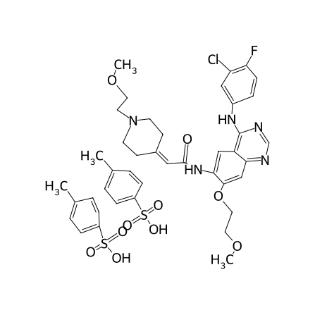 COCCOc1cc2ncnc(Nc3ccc(F)c(Cl)c3)c2cc1NC(=O)C=C1CCN(CCOC)CC1.Cc1ccc(S(=O)(=O)O)cc1.Cc1ccc(S(=O)(=O)O)cc1